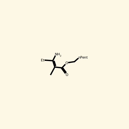 CCCCCCOC(=O)C(C)=C(N)CC